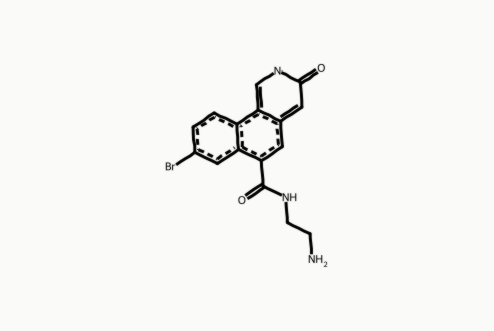 NCCNC(=O)c1cc2c(c3ccc(Br)cc13)=C[N]C(=O)C=2